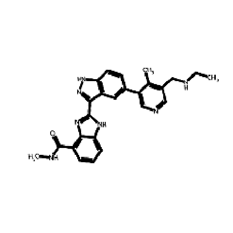 CCNCc1cncc(-c2ccc3[nH]nc(-c4nc5c(C(=O)NC)cccc5[nH]4)c3c2)c1C